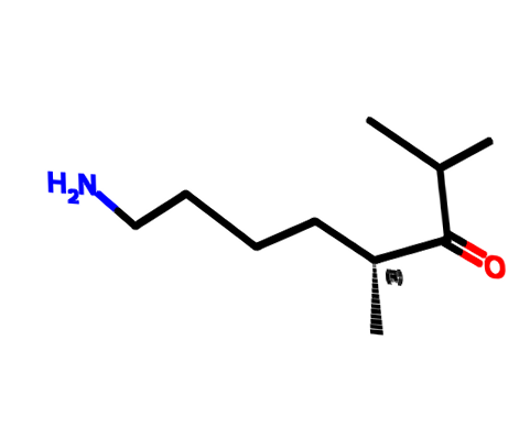 CC(C)C(=O)[C@H](C)CCCCN